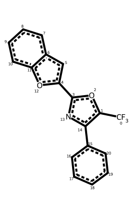 FC(F)(F)c1oc(-c2cc3ccccc3o2)nc1-c1ccccc1